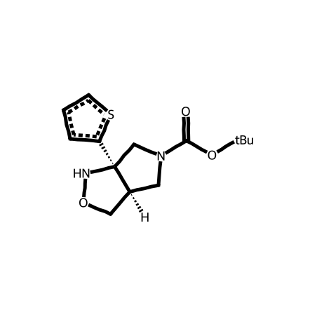 CC(C)(C)OC(=O)N1C[C@H]2CON[C@@]2(c2cccs2)C1